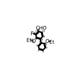 CCOc1ccccc1-c1ccc(C=O)c(F)c1OCC